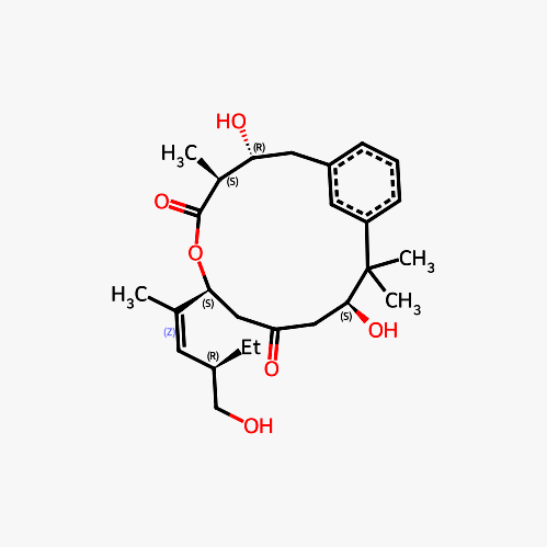 CC[C@H](/C=C(/C)[C@@H]1CC(=O)C[C@H](O)C(C)(C)c2cccc(c2)C[C@@H](O)[C@H](C)C(=O)O1)CO